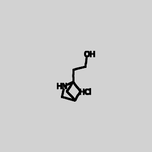 Cl.OCCC12CC(CN1)C2